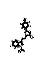 CC(=O)n1cc(C/C=C2\N=C(c3ccc(Br)cc3)OC2=O)c2ccccc21